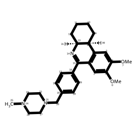 COc1cc2c(cc1OC)[C@@H]1CCCC[C@@H]1N=C2c1ccc(CN2CCN(C)CC2)cc1